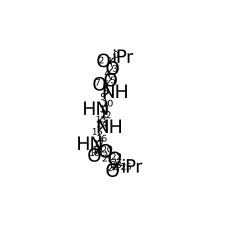 CC(C)C(=O)OCOC(=O)NCCNCCNCCNC(=O)OCOC(=O)C(C)C